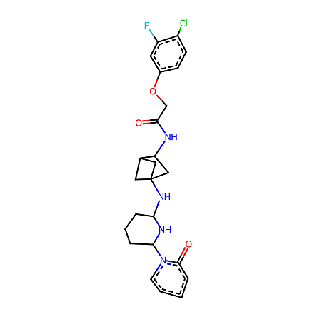 O=C(COc1ccc(Cl)c(F)c1)NC1CC2(NC3CCCC(n4ccccc4=O)N3)CC1C2